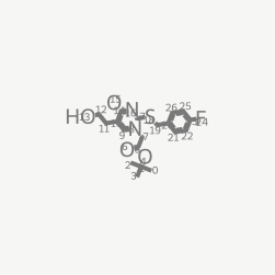 CC(C)(C)OC(=O)Cn1cc(CCO)c(=O)nc1SCc1ccc(F)cc1